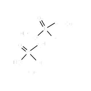 O=P(O)(O)O.O=P([O-])([O-])[O-].[Cu+2].[Cu+2].[OH-]